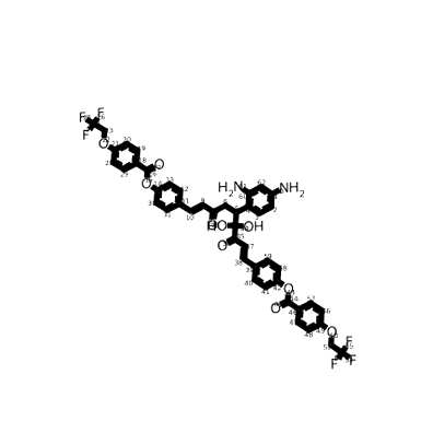 Nc1ccc(C(CC(=O)/C=C/c2ccc(OC(=O)c3ccc(OCC(F)(F)F)cc3)cc2)C(O)(O)C(=O)/C=C/c2ccc(OC(=O)c3ccc(OCC(F)(F)F)cc3)cc2)c(N)c1